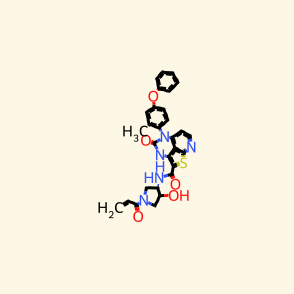 C=CC(=O)N1CC(O)[C@@H](NC(=O)c2sc3nccc4c3c2NC(=O)N4c2ccc(Oc3ccccc3)cc2C)C1